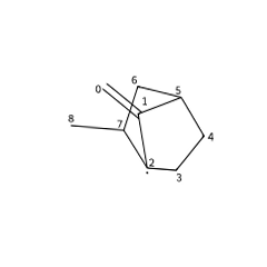 C=C1[C]2CCC1CC2C